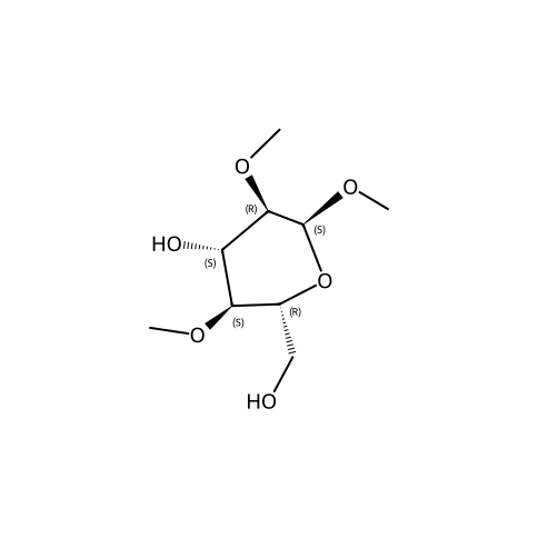 CO[C@H]1O[C@H](CO)[C@@H](OC)[C@H](O)[C@H]1OC